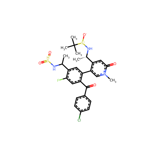 CC(N[SH](=O)=O)c1cc(-c2cn(C)c(=O)cc2[C@H](C)N[S+]([O-])C(C)(C)C)c(C(=O)c2ccc(Cl)cc2)cc1F